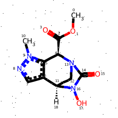 COC(=O)[C@@H]1c2c(cnn2C)[C@H]2CN1C(=O)N2O